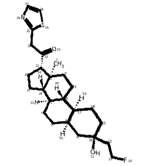 C[C@]12CC[C@H]3[C@@H](CC[C@@H]4C[C@@](O)(CCF)CC[C@@H]43)[C@@H]1CC[C@@H]2C(=O)Cc1nccs1